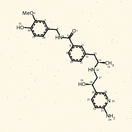 COc1cc(CNC(=O)c2cccc(C[C@@H](C)NC[C@H](O)c3ccc(N)nc3)c2)ccc1O